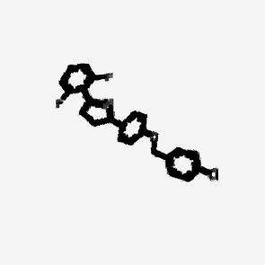 Fc1cccc(F)c1C1=NC(c2ccc(OCc3ccc(Cl)cc3)cc2)CC1